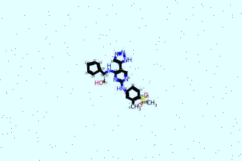 Cc1cc(Nc2ncc(-c3cnn[nH]3)c(N[C@H](CO)c3ccccc3)n2)ccc1S(C)(=O)=O